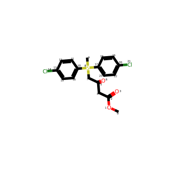 COC(=O)CC(=O)CS(C)(c1ccc(Cl)cc1)c1ccc(Cl)cc1